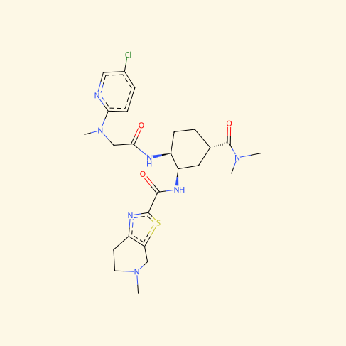 CN1CCc2nc(C(=O)N[C@@H]3C[C@@H](C(=O)N(C)C)CC[C@@H]3NC(=O)CN(C)c3ccc(Cl)cn3)sc2C1